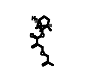 C=C(C)COCC(=C)C(=O)OC1C[C@H]2CC[C@@]1(C)C2(C)C